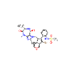 CCCc1nc2c(n1Cc1c3ccocc-3c(Br)c1-c1ccccc1NS(=O)(=O)C(F)(F)F)C(=O)NC(C(=O)O)C(=O)N2C